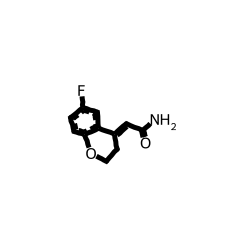 NC(=O)/C=C1\CCOc2ccc(F)cc21